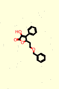 O=C1OC(CCOCc2ccccc2)C(c2ccccc2)=C1O